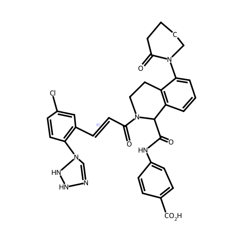 O=C(O)c1ccc(NC(=O)C2c3cccc(N4CCCCC4=O)c3CCN2C(=O)/C=C/c2cc(Cl)ccc2N2C=NNN2)cc1